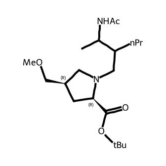 CCCC(CN1C[C@H](COC)C[C@@H]1C(=O)OC(C)(C)C)C(C)NC(C)=O